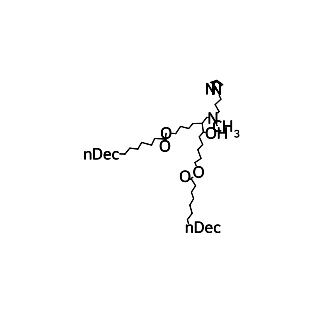 CCCCCCCCCCCCCCCCC(=O)OCCCCCC(O)C(CCCCOC(=O)CCCCCCCCCCCCCCCC)CN(C)CCCn1cccn1